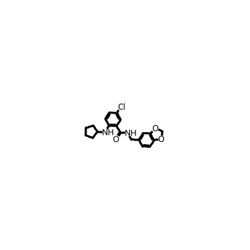 O=C(NCc1ccc2c(c1)OCO2)c1cc(Cl)ccc1NC1CCCC1